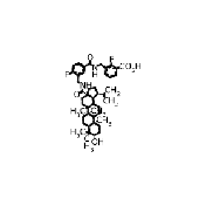 C=C(C)[C@@H]1CC[C@]2(C(=O)NCc3cc(C(=O)NCc4cccc(C(=O)O)c4F)ccc3F)CC[C@]3(C)C(CCC4[C@@]5(C)CC[C@H](O)C(C)(C)C5CC[C@]43C)C12